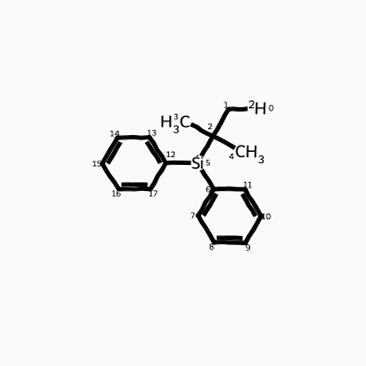 [2H]CC(C)(C)[Si](c1ccccc1)c1ccccc1